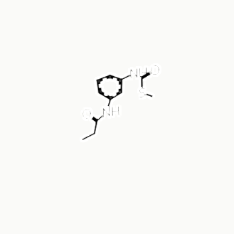 CCC(=O)Nc1cccc(NC(=O)SC)c1